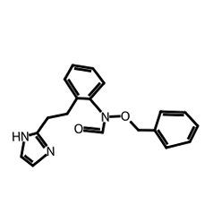 O=CN(OCc1ccccc1)c1ccccc1CCc1ncc[nH]1